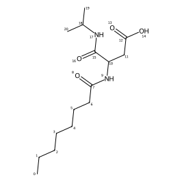 CCCCCCCC(=O)NC(CC(=O)O)C(=O)NC(C)C